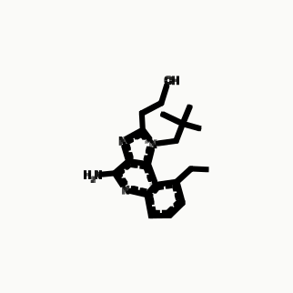 CCc1cccc2nc(N)c3nc(CCO)n(CC(C)(C)C)c3c12